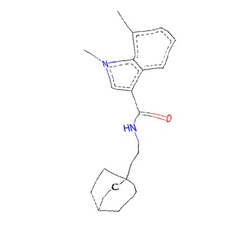 Cc1cccc2c(C(=O)NCC34CCC(CC3)CC4)cn(C)c12